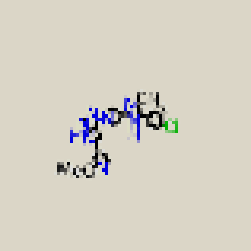 COc1cc(-c2cc3c(N4CCC(c5nc(C)c(-c6ccc(Cl)cc6)[nH]5)CC4)ncnc3[nH]2)ccn1